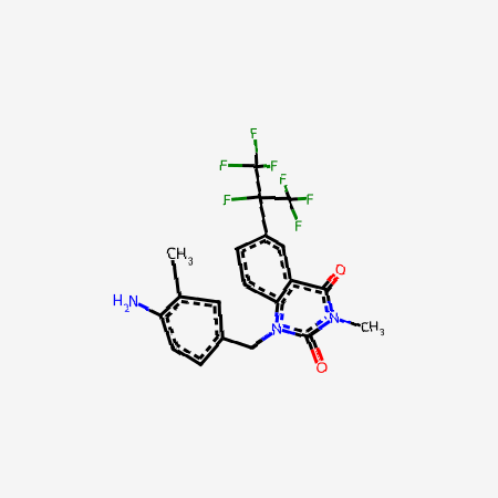 Cc1cc(Cn2c(=O)n(C)c(=O)c3cc(C(F)(C(F)(F)F)C(F)(F)F)ccc32)ccc1N